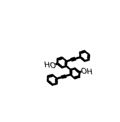 Oc1ccc(C#Cc2ccccc2)c(-c2cc(O)ccc2C#Cc2ccccc2)c1